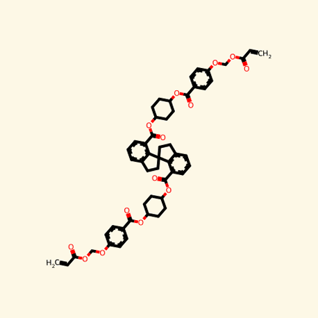 C=CC(=O)OCOc1ccc(C(=O)OC2CCC(OC(=O)c3cccc4c3C3(CC4)CCc4cccc(C(=O)OC5CCC(OC(=O)c6ccc(OCOC(=O)C=C)cc6)CC5)c43)CC2)cc1